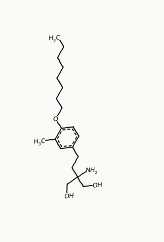 CCCCCCCCOc1ccc(CCC(N)(CO)CO)cc1C